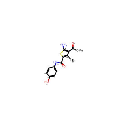 COC(=O)c1c(N)sc(C(=O)Nc2ccc(O)cc2)c1C